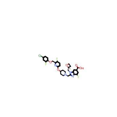 O=C(O)c1cc(F)c2nc(CN3CCC(Oc4ccc(F)c(COc5ccc(Cl)cc5F)n4)CC3)n(C[C@@H]3CCO3)c2c1